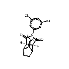 CC(C)=C1C2CCC1[C@@H]1C(=O)N(c3cc(Cl)cc(Cl)c3)C(=O)[C@H]21